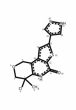 CC1(Cl)COCc2c1[nH]c(=O)c1sc(-c3cn[nH]c3)cc21